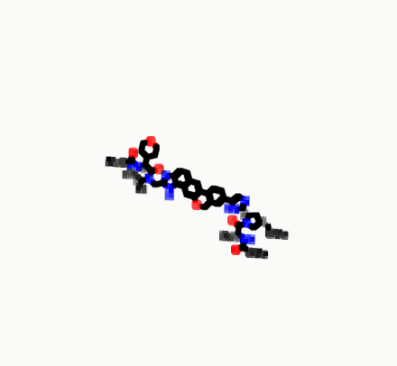 CCC[C@H](CC)N(Cc1nc2ccc3cc4c(cc3c2[nH]1)OCc1cc(-c2cnc([C@@H]3C[C@H](COC)CN3C(=O)[C@@H](NC(=O)OC)[C@@H](C)CC)[nH]2)ccc1-4)C(=O)[C@@H](NC(=O)OC)C1CCOCC1